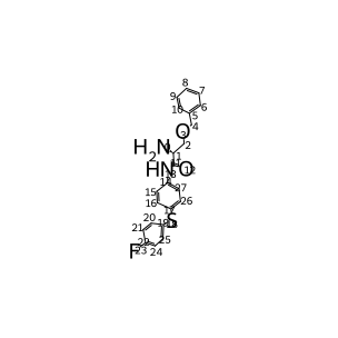 N[C@@H](COCc1ccccc1)C(=O)Nc1ccc(Sc2ccc(F)cc2)cc1